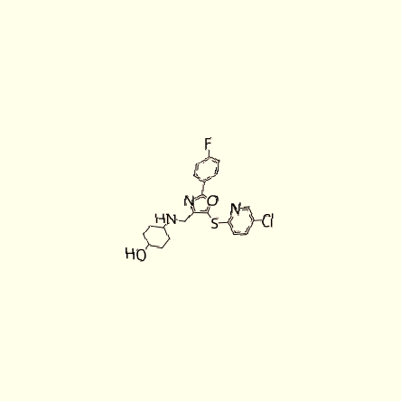 OC1CCC(NCc2nc(-c3ccc(F)cc3)oc2Sc2ccc(Cl)cn2)CC1